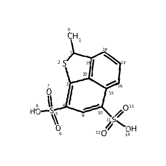 CC1Sc2c(S(=O)(=O)O)cc(S(=O)(=O)O)c3cccc1c23